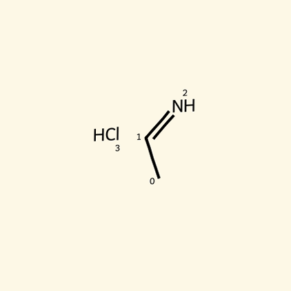 CC=N.Cl